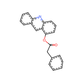 O=C(Cc1ccccc1)Oc1cccc2nc3ccccc3cc12